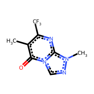 Cc1c(C(F)(F)F)nc2n(C)ncn2c1=O